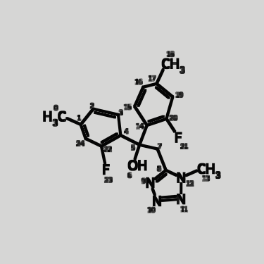 Cc1ccc(C(O)(Cc2nnnn2C)c2ccc(C)cc2F)c(F)c1